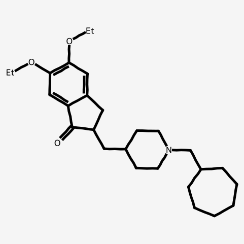 CCOc1cc2c(cc1OCC)C(=O)C(CC1CCN(CC3CCCCCC3)CC1)C2